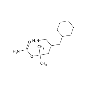 CC(C)(CC(CN)CC1CCCCC1)OC(N)=O